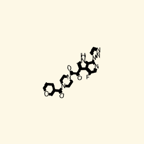 O=C(C(=O)N1CCN(C(=O)C2CCCOC2)CC1)C1=CNC2C1=C(F)C=NC2n1ccnn1